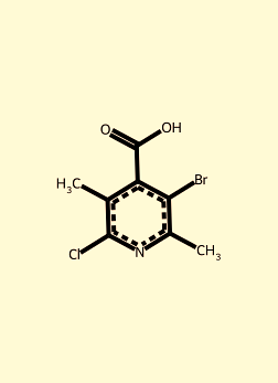 Cc1nc(Cl)c(C)c(C(=O)O)c1Br